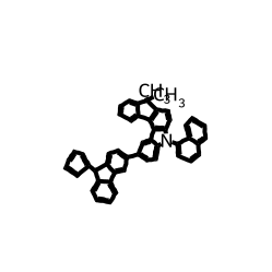 CC1(C)c2ccccc2-c2c1ccc1c2c2cc(-c3ccc4c(c3)-c3ccccc3C4c3ccccc3)ccc2n1-c1cccc2ccccc12